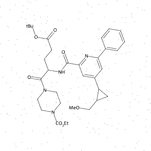 CCOC(=O)N1CCN(C(=O)C(CCC(=O)OC(C)(C)C)NC(=O)c2cc(C3CC3COC)cc(-c3ccccc3)n2)CC1